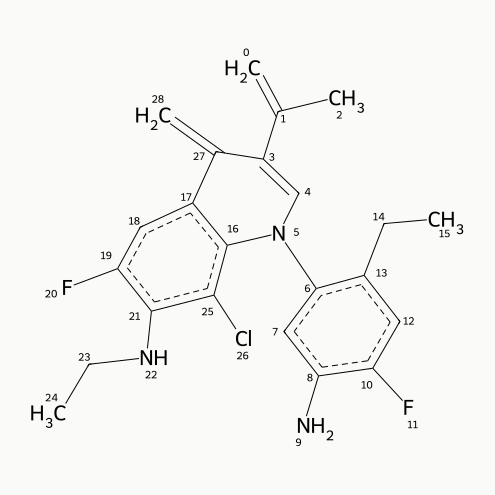 C=C(C)C1=CN(c2cc(N)c(F)cc2CC)c2c(cc(F)c(NCC)c2Cl)C1=C